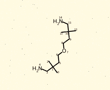 CC(C)(CN)CCOCCC(C)(C)CN